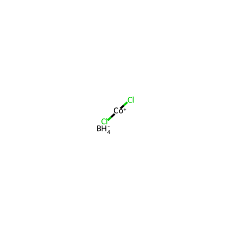 [BH4-].[Cl][Co+][Cl]